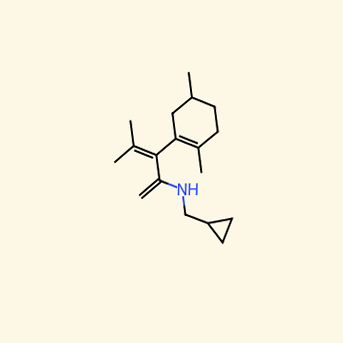 C=C(NCC1CC1)C(=C(C)C)C1=C(C)CCC(C)C1